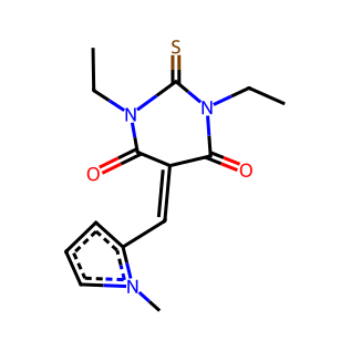 CCN1C(=O)C(=Cc2cccn2C)C(=O)N(CC)C1=S